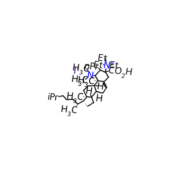 CCCC1C(N(C)C)[C@@]2(C)C(=CC[C@H]3[C@@H]4CC[C@H]([C@H](C)CCCC(C)C)[C@@]4(C)CC[C@@H]32)CC1(C(=O)O)[N+](CC)(CC)CC.[I-]